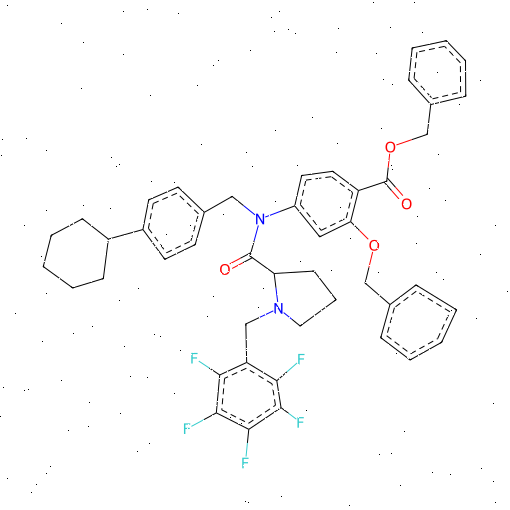 O=C(OCc1ccccc1)c1ccc(N(Cc2ccc(C3CCCCC3)cc2)C(=O)C2CCCN2Cc2c(F)c(F)c(F)c(F)c2F)cc1OCc1ccccc1